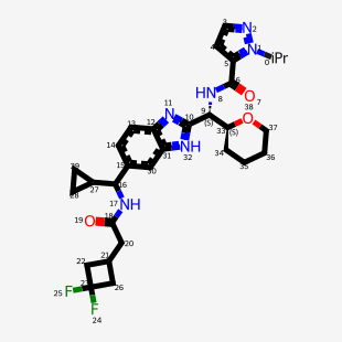 CC(C)n1nccc1C(=O)N[C@@H](c1nc2ccc(C(NC(=O)CC3CC(F)(F)C3)C3CC3)cc2[nH]1)[C@@H]1CCCCO1